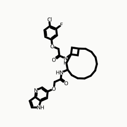 O=C(COc1cnc2cc[nH]c2c1)NC1CCCCCCCCCC2CC(NC(=O)COc3ccc(Cl)c(F)c3)(C2)C1